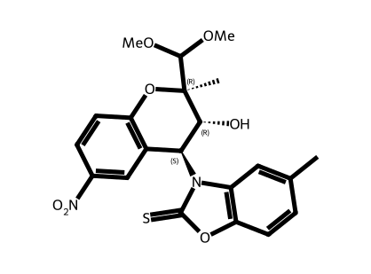 COC(OC)[C@]1(C)Oc2ccc([N+](=O)[O-])cc2[C@H](n2c(=S)oc3ccc(C)cc32)[C@H]1O